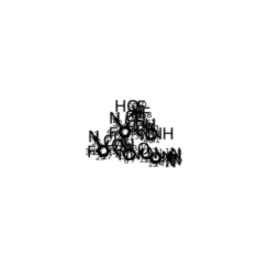 Cc1c([C@H]2CN3CCN(C(=O)Cc4ccc(-n5cnnn5)cn4)C[C@H]3CO2)ccc(F)c1C#N.Cc1c([C@H]2CN3CCNC[C@H]3CO2)ccc(F)c1C#N.O=C(O)C(F)(F)F